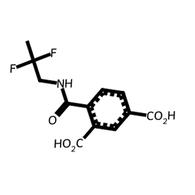 CC(F)(F)CNC(=O)c1ccc(C(=O)O)cc1C(=O)O